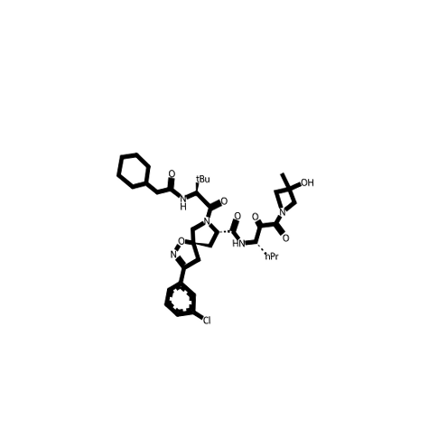 CCC[C@H](NC(=O)[C@@H]1C[C@]2(CC(c3cccc(Cl)c3)=NO2)CN1C(=O)[C@@H](NC(=O)CC1CCCCC1)C(C)(C)C)C(=O)C(=O)N1CC(C)(O)C1